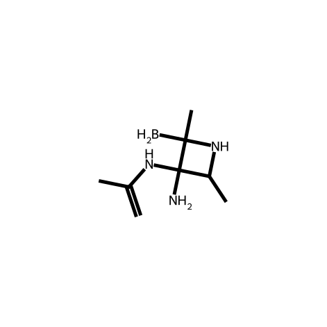 BC1(C)NC(C)C1(N)NC(=C)C